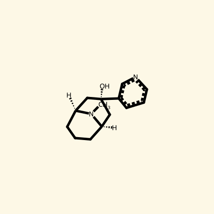 CN1[C@@H]2CCC[C@H]1C[C@@](O)(c1cccnc1)C2